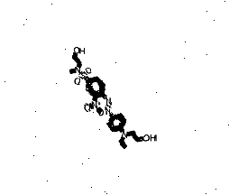 CCN(CCO)c1ccc(N=Nc2ccc(S(=O)(=O)N(C)CCO)cc2[N+](=O)[O-])cc1